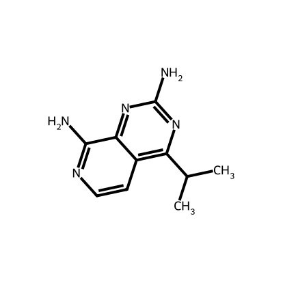 CC(C)c1nc(N)nc2c(N)nccc12